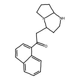 O=C(CC1CCNC2CCCN12)c1cccc2ccccc12